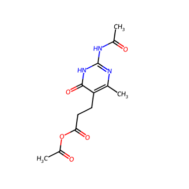 CC(=O)Nc1nc(C)c(CCC(=O)OC(C)=O)c(=O)[nH]1